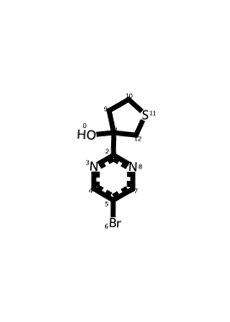 OC1(c2ncc(Br)cn2)CCSC1